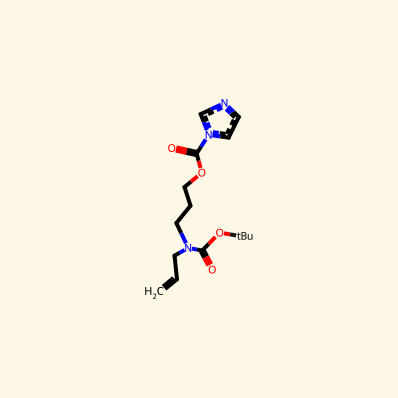 C=CCN(CCCOC(=O)n1ccnc1)C(=O)OC(C)(C)C